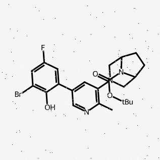 Cc1ncc(-c2cc(F)cc(Br)c2O)cc1N1CC2CCC(C1)N2C(=O)OC(C)(C)C